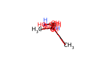 CCCCCCCCCCCCCCCCCCCCCCCCCC(=O)N[C@@H](CO[C@H]1O[C@H](COCCCCCCNC(=O)O)[C@H](O)[C@H](O)[C@H]1O)[C@H](O)[C@H](O)CCCCCCCCCCCCCC